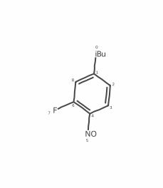 CCC(C)c1ccc(N=O)c(F)c1